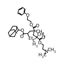 CCC(CC(C)(CC(C)(C)C(=O)OCCN(C)C)C(=O)OCCOc1ccccc1)C(=O)OC1C2CC3CC(C2)CC1C3